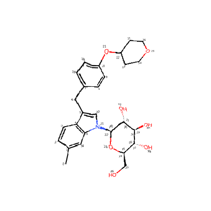 Cc1ccc2c(Cc3ccc(OC4CCOCC4)cc3)cn([C@@H]3O[C@H](CO)[C@@H](O)[C@H](O)[C@H]3O)c2c1